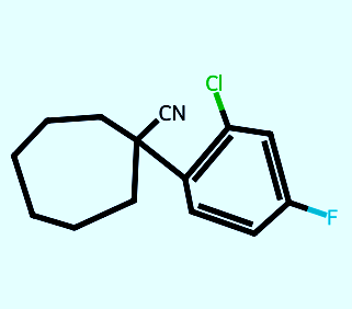 N#CC1(c2ccc(F)cc2Cl)CCCCCC1